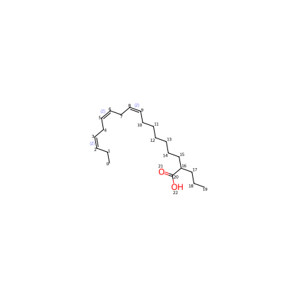 CC/C=C\C/C=C\C/C=C\CCCCCCC(CCC)C(=O)O